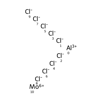 [Al+3].[Cl-].[Cl-].[Cl-].[Cl-].[Cl-].[Cl-].[Cl-].[Cl-].[Cl-].[Mo+6]